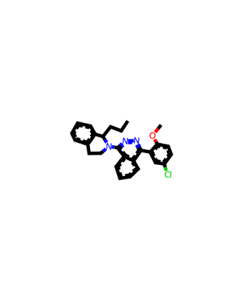 CCCC1c2ccccc2CCN1c1nnc(-c2cc(Cl)ccc2OC)c2ccccc12